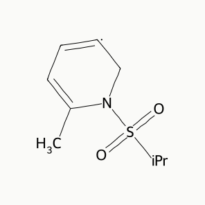 CC1=CC=[C]CN1S(=O)(=O)C(C)C